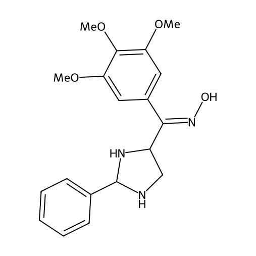 COc1cc(/C(=N\O)C2CNC(c3ccccc3)N2)cc(OC)c1OC